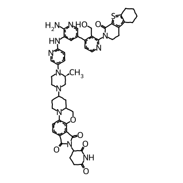 C[C@H]1CN(C2CCN3c4ccc5c(c4OCC3C2)C(=O)N(C2CCC(=O)NC2=O)C5=O)CCN1c1ccc(Nc2cc(-c3ccnc(N4CCc5c(sc6c5CCCC6)C4=O)c3CO)cnc2N)nc1